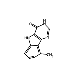 Cc1cccc2[nH]c3c(=O)[nH]cnc3c12